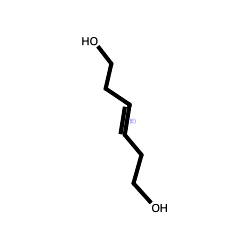 OCC/C=C/CCO